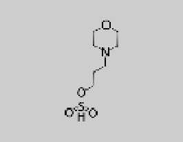 O=[SH](=O)OCCCN1CCOCC1